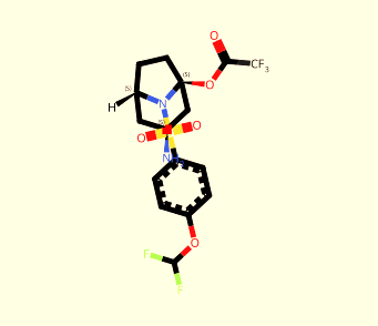 N[C@H]1C[C@@H]2CC[C@](OC(=O)C(F)(F)F)(C1)N2S(=O)(=O)c1ccc(OC(F)F)cc1